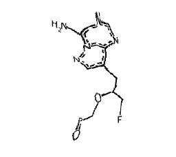 Nc1ncnc2c(CC(CF)OCP=O)cnn12